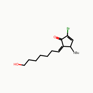 CCCCC1C=C(Br)C(=O)/C1=C\CCCCCCO